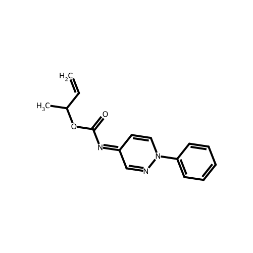 C=CC(C)OC(=O)N=c1ccn(-c2ccccc2)nc1